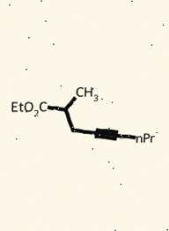 CCCC#CCC(C)C(=O)OCC